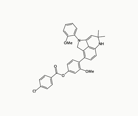 COc1cc(OC(=O)c2ccc(Cl)cc2)ccc1-c1ccc2c3c1CN(c1ccccc1OC)C3=CC(C)(C)N2